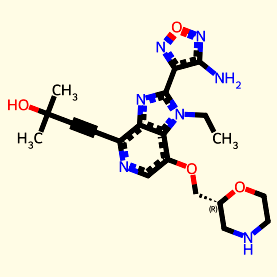 CCn1c(-c2nonc2N)nc2c(C#CC(C)(C)O)ncc(OC[C@H]3CNCCO3)c21